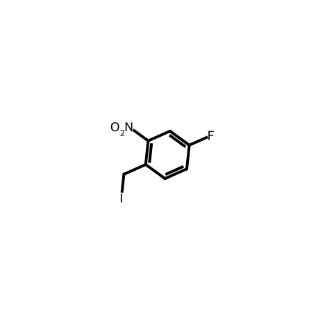 O=[N+]([O-])c1cc(F)ccc1CI